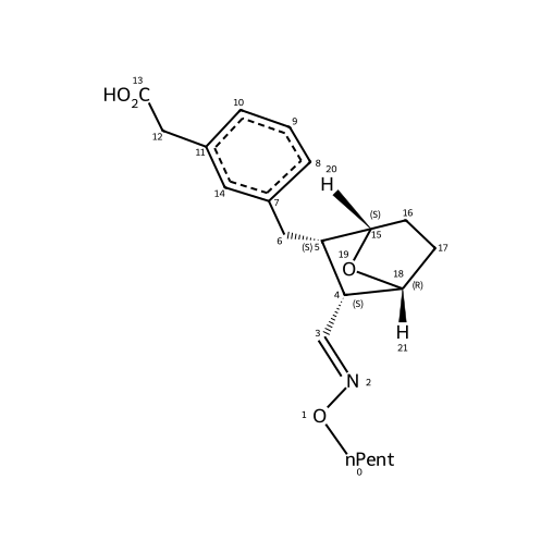 CCCCCON=C[C@@H]1[C@H](Cc2cccc(CC(=O)O)c2)[C@@H]2CC[C@H]1O2